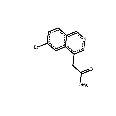 CCc1ccc2cncc(CC(=O)OC)c2c1